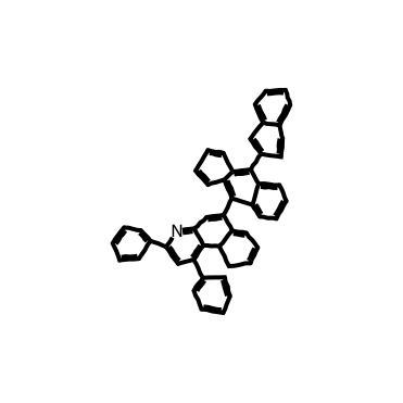 C1=CCC2C(=C1)C(c1c3ccccc3c(-c3ccc4ccccc4c3)c3ccccc13)=Cc1nc(-c3ccccc3)cc(-c3ccccc3)c12